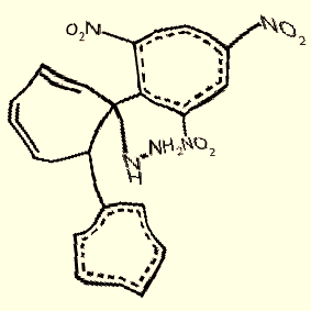 NNC1(c2c([N+](=O)[O-])cc([N+](=O)[O-])cc2[N+](=O)[O-])C=CC=CC1c1ccccc1